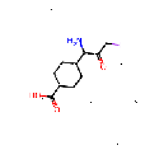 NC(C(=O)CI)C1CCC(C(=O)O)CC1